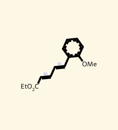 CCOC(=O)/C=C/C=C/c1ccccc1OC